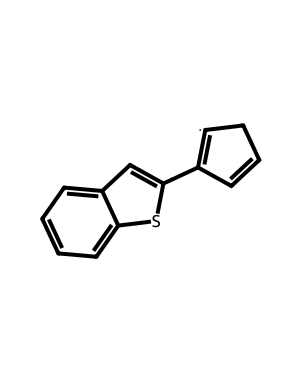 [C]1=C(c2cc3ccccc3s2)C=CC1